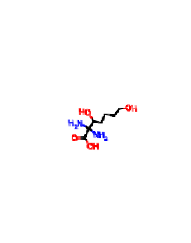 NC(N)(C(=O)O)C(O)CCCCO